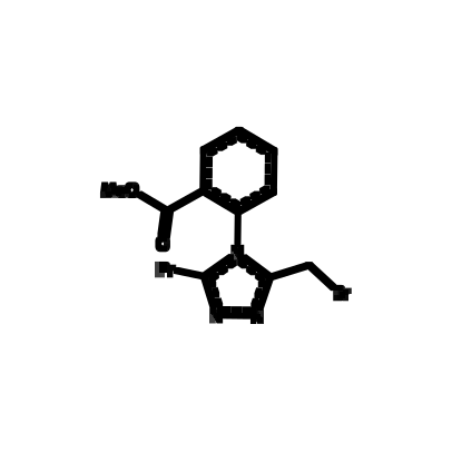 COC(=O)c1ccccc1-n1c(CBr)nnc1C(C)C